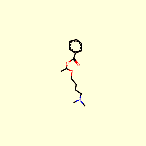 CC(OCCCCN(C)C)OC(=O)c1ccccc1